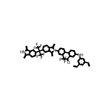 C=Cc1cc(C=C)cc(Nc2ccc(-c3ccc(-n4c(=C)c5ccc(C(c6ccc7c(=C)[nH]c(=C)c7c6)(C(F)(F)F)C(F)(F)F)cc5c4=C)cc3C(F)(F)F)c(C(=O)F)c2)c1